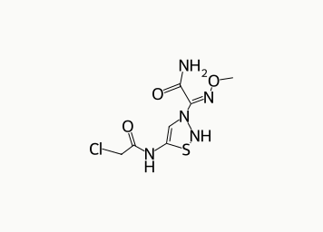 CO/N=C(\C(N)=O)N1C=C(NC(=O)CCl)SN1